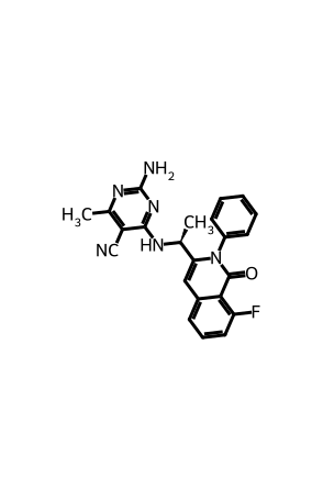 Cc1nc(N)nc(N[C@@H](C)c2cc3cccc(F)c3c(=O)n2-c2ccccc2)c1C#N